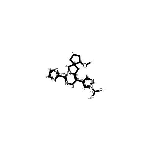 COC1CCCC12CC1=C(c3cnn(C(F)F)c3)CN=C(c3nccs3)N1C2